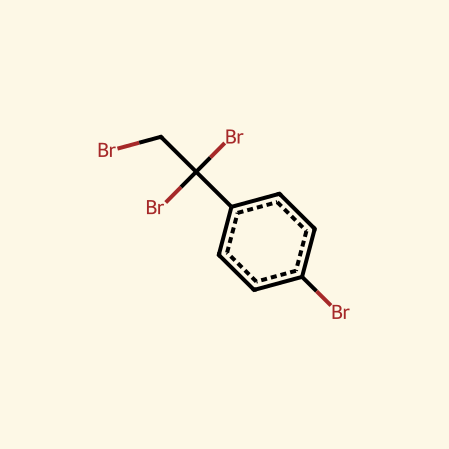 BrCC(Br)(Br)c1ccc(Br)cc1